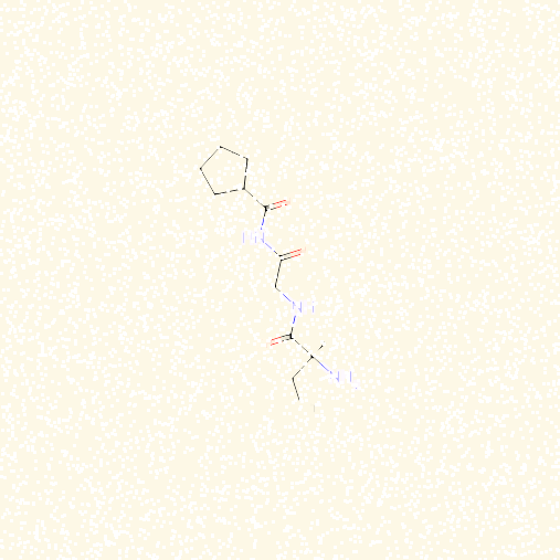 CC(C)C[C@@](C)(N)C(=O)NCC(=O)NC(=O)C1CCCC1